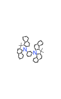 CC1(C)c2ccc3ccccc3c2N(c2cccc(N3c4ccc5ccccc5c4C(C)(C)c4ccc5ccccc5c43)c2)c2ccc3ccccc3c21